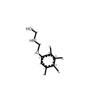 Cc1cc(OCNCO)c(C)c(C)c1C